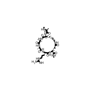 CNC(=O)[C@@H]1CCC(=O)NCCCC[C@H](NC(=O)[C@H](C)NC)C(=O)N[C@@H](C)C(=O)N[C@@H](C)C(=O)N[C@@H](CCCNC(=N)N)C(=O)N1